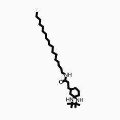 CCCCCCCCCCCCCCCCCCNC(=O)CCC1CCCC2(C1)NC(C)(C)C(C)(C)N2